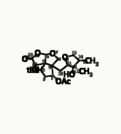 CC(=O)OC1C[C@@H](C(C)(C)C)C23C(OCC12CC1OC[C@@H](C)[C@@]1(C)O)OC(=O)[C@@H]3O